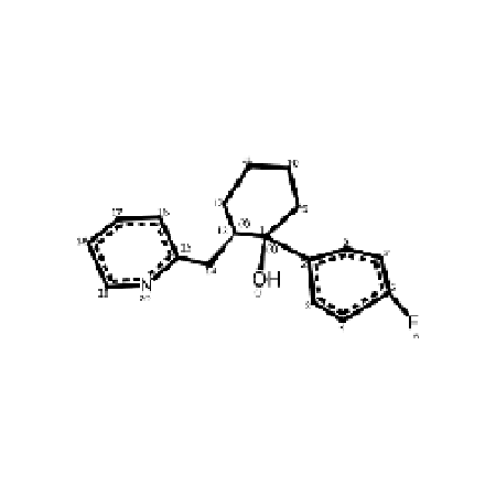 O[C@]1(c2ccc(F)cc2)CCCC[C@@H]1Cc1ccccn1